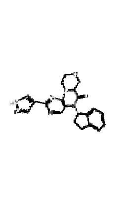 O=C1C2COCCN2c2nc(-c3cn[nH]c3)ncc2N1[C@H]1CCc2ccccc21